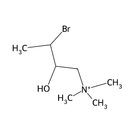 CC(Br)C(O)C[N+](C)(C)C